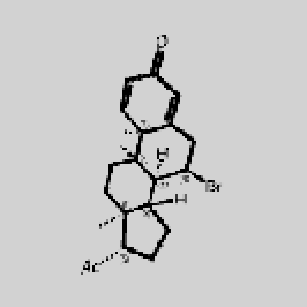 CC(=O)[C@H]1CC[C@H]2[C@@H]3[C@H](Br)CC4=CC(=O)C=C[C@]4(C)[C@H]3CC[C@]12C